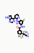 CC(C)(C#N)c1cccc(C(=O)Nc2cc(F)cc(Nc3ncccc3-c3ncnc4[nH]ccc34)c2)c1